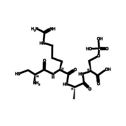 C[C@H](NC(=O)[C@H](CCCNC(=N)N)NC(=O)[C@@H](N)CS)C(=O)N[C@@H](COP(=O)(O)O)C(=O)O